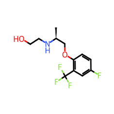 C[C@@H](COc1ccc(F)cc1C(F)(F)F)NCCO